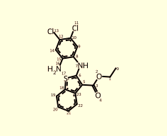 CCOC(=O)c1c(Nc2cc(Cl)c(Cl)cc2N)sc2ccccc12